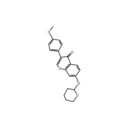 COc1ccc(-c2coc3cc(OC4CCCCO4)ccc3c2=O)cc1